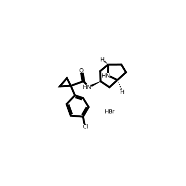 Br.O=C(N[C@H]1C[C@H]2CC[C@@H](C1)N2)C1(c2ccc(Cl)cc2)CC1